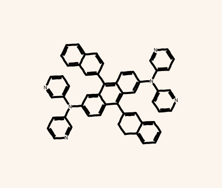 C1=C(c2c3cc(N(c4cccnc4)c4cccnc4)ccc3c(-c3ccc4ccccc4c3)c3cc(N(c4cccnc4)c4cccnc4)ccc23)CCc2ccccc21